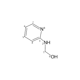 OCNc1ccccn1